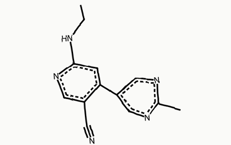 CCNc1cc(-c2cnc(C)nc2)c(C#N)cn1